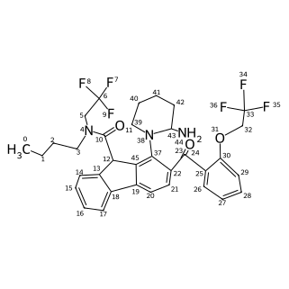 CCCCN(CC(F)(F)F)C(=O)C1c2ccccc2-c2ccc(C(=O)c3ccccc3OCC(F)(F)F)c(N3CCCCC3N)c21